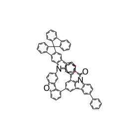 O=c1c2ccccc2c2cc(-c3cccc4oc5ccc(-n6c7ccccc7c7cc8c(cc76)-c6ccccc6C86c7ccccc7-c7ccccc76)cc5c34)cc3c4cc(-c5ccccc5)ccc4n1c23